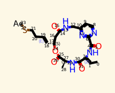 C/C=C1\NC(=O)c2nccc(n2)CNC(=O)C[C@@H](/C=C/CCSC(C)=O)OC(=O)[C@H](C)NC1=O